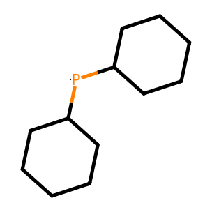 C1CCC([P]C2CCCCC2)CC1